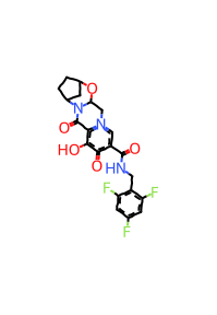 O=C(NCc1c(F)cc(F)cc1F)c1cn2c(c(O)c1=O)C(=O)N1C3CCC(C3)OC1C2